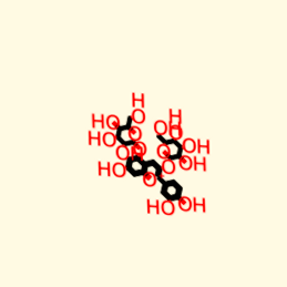 OCC1OC(Oc2cc3c(OC4OC(CO)C(O)C(O)C4O)cc(O)cc3[o+]c2-c2ccc(O)c(O)c2)C(O)C(O)C1O